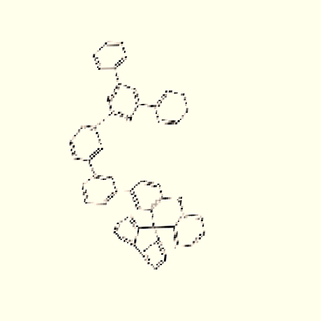 C1=CC(c2cc(-c3ccccc3)nc(-c3cccc(-c4cccc(-c5ccc6c(c5)C5(c7ccccc7O6)c6ccccc6-c6ccccc65)c4)c3)n2)=CCC1